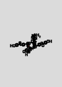 Nc1ncnc2c1ncn2[C@@H]1OC2COP(=O)(SCc3ccc(CC(=O)c4ccc(O)cc4)cc3)O[C@@H]3C[C@@H](COP(=O)(SCc4ccc(OC(=O)c5ccc(O)cc5)cc4)O[C@H]2[C@H]1F)O[C@H]3n1ccc(=O)[nH]c1=O